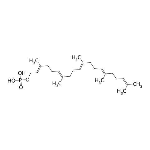 CC(C)=CCC/C(C)=C/CCC(C)=CCCC(C)=CCCC(C)=CCOP(=O)(O)O